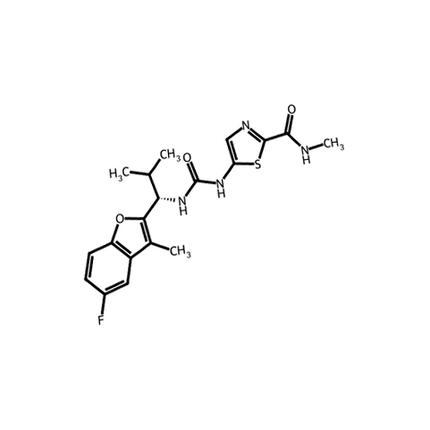 CNC(=O)c1ncc(NC(=O)N[C@H](c2oc3ccc(F)cc3c2C)C(C)C)s1